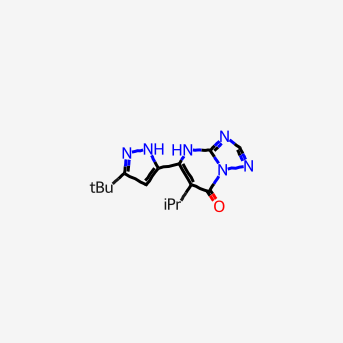 CC(C)c1c(-c2cc(C(C)(C)C)n[nH]2)[nH]c2ncnn2c1=O